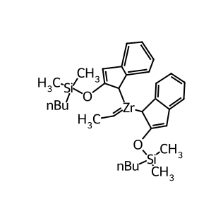 C[CH]=[Zr]([CH]1C(O[Si](C)(C)CCCC)=Cc2ccccc21)[CH]1C(O[Si](C)(C)CCCC)=Cc2ccccc21